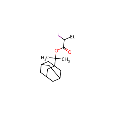 CCC(I)C(=O)OC(C)(C)C12CC3CC(CC(C3)C1)C2